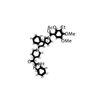 CCc1c(OC)c(OC)cc(C(=O)N2CCC(CCN3CCC(C(=O)c4nc5ccccc5[nH]4)CC3)(c3ccccc3)C2)c1OC(C)=O